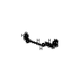 COc1cc(N2CCC(NCCNCCCCCCCOc3cccc4c3CN(C3CCC(=O)NC3=O)C4=O)CC2)c(C)cc1Nc1ncc(Br)c(Nc2ccc3nccnc3c2P(C)(C)=O)n1